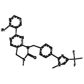 CC(C)c1ncccc1-c1ncc2c(n1)N(Cc1ccc(-c3nc(C(C)(F)F)cn3C)cc1)C(=O)N(C)C2